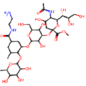 COC(=O)C1(OC2C(O)C(CO)OC(OC3CC(C(=O)NCCN)CC(C)C3OC3OC(C)C(O)C(O)C3O)C2O)CC(O)C(NC(C)=O)C([C@H](O)[C@H](O)CO)O1